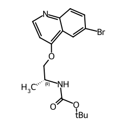 C[C@H](COc1ccnc2ccc(Br)cc12)NC(=O)OC(C)(C)C